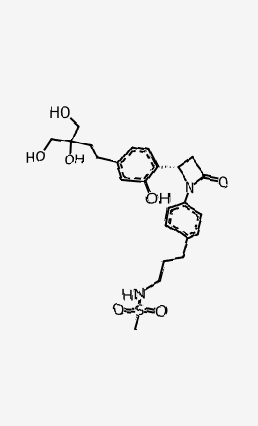 CS(=O)(=O)NCCCc1ccc(N2C(=O)C[C@H]2c2ccc(CCC(O)(CO)CO)cc2O)cc1